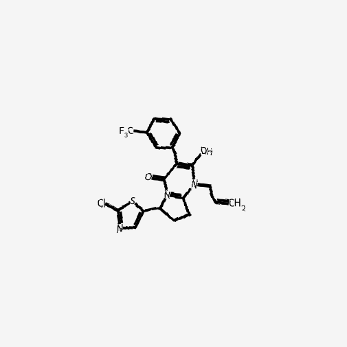 C=CCn1c(O)c(-c2cccc(C(F)(F)F)c2)c(=O)[n+]2c1CCC2c1cnc(Cl)s1